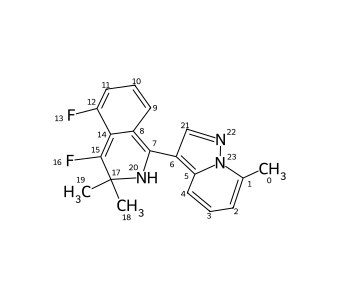 Cc1cccc2c(C3=c4cccc(F)c4=C(F)C(C)(C)N3)cnn12